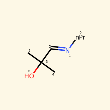 CCCN=CC(C)(C)O